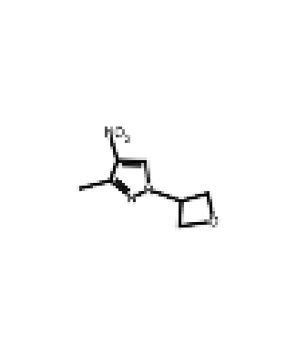 Cc1nn(C2COC2)cc1[N+](=O)[O-]